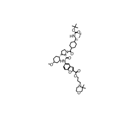 COC1CCC([C@@H]2CCN(C(=O)C3CCC([C@@H](CF)NC(=O)OC(C)(C)C)CC3)[C@@H]2C(=O)Nc2ccc3oc(C(=O)OCCCN4CCOCC4(C)C)cc3c2)CC1